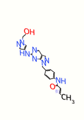 C/C=C/C(=O)Nc1ccc(Cn2ncc3cnc(Nc4cnn(CCO)c4)nc32)cc1